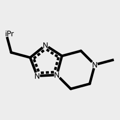 CC(C)Cc1nc2n(n1)CCN(C)C2